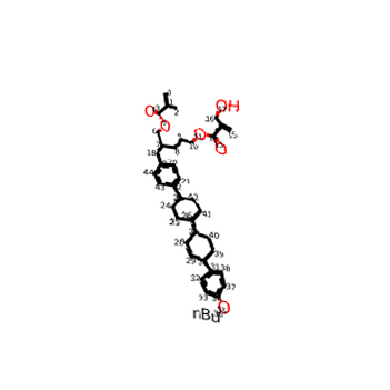 C=C(C)C(=O)OCC(CCCOC(=O)C(=C)CO)Cc1ccc(C2CCC(C3CCC(c4ccc(OCCCC)cc4)CC3)CC2)cc1